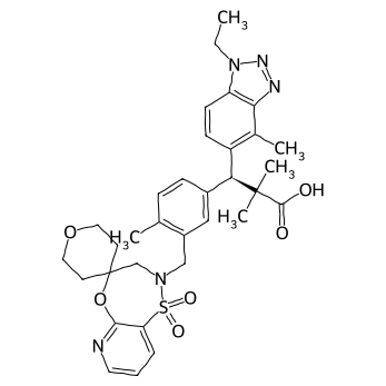 CCn1nnc2c(C)c([C@H](c3ccc(C)c(CN4CC5(CCOCC5)Oc5ncccc5S4(=O)=O)c3)C(C)(C)C(=O)O)ccc21